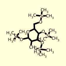 CC1C(O[Si](C)(C)C)OC(CO[Si](C)(C)C)C(O[Si](C)(C)C)C1O[Si](C)(C)C